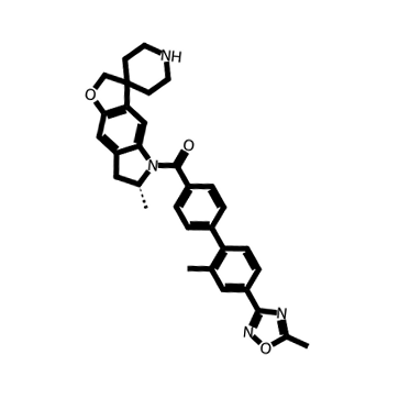 Cc1nc(-c2ccc(-c3ccc(C(=O)N4c5cc6c(cc5C[C@H]4C)OCC64CCNCC4)cc3)c(C)c2)no1